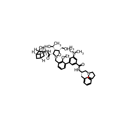 C=C1[C@H]2C[C@H](NC(=O)[C@@H]3[C@H]([C@H](C)O)[C@H](CO)ON3Cc3cccc(-c4cc(C(=O)N[C@@H](Cc5ccccc5)CN5CCCC5)cc(N(C)C)c4)c3OCC)[C@@H](C)[C@@H]1C2